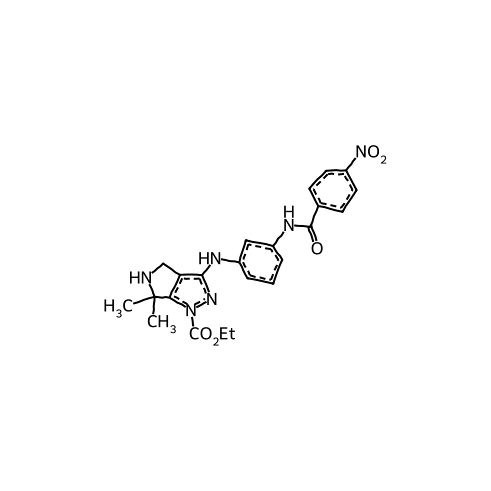 CCOC(=O)n1nc(Nc2cccc(NC(=O)c3ccc([N+](=O)[O-])cc3)c2)c2c1C(C)(C)NC2